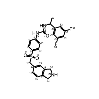 CC(NC(=O)Nc1ccc(S(=O)(=O)Cc2ccc3c(c2)CNC3)cc1)c1cc(F)cc(F)c1